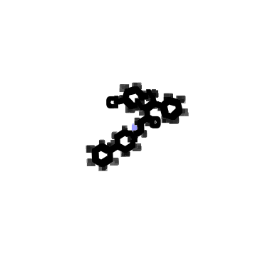 O=C(/C=C/N1CCC(c2ccccc2)CC1)c1c(-c2ccccc2)nc2ccc(Cl)cn12